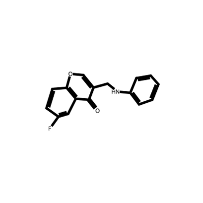 O=c1c(CNc2ccccc2)coc2ccc(F)cc12